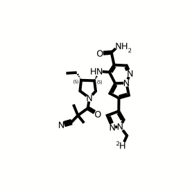 [2H]Cn1cc(-c2cc3c(N[C@@H]4CN(C(=O)C(C)(C)C#N)C[C@@H]4CC)c(C(N)=O)cnn3c2)cn1